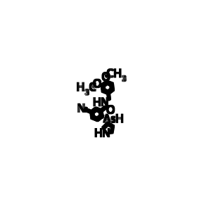 COc1ccc(CNC(=O)c2cc(C#N)ccc2[AsH][C@@H]2CCNC2)cc1OC